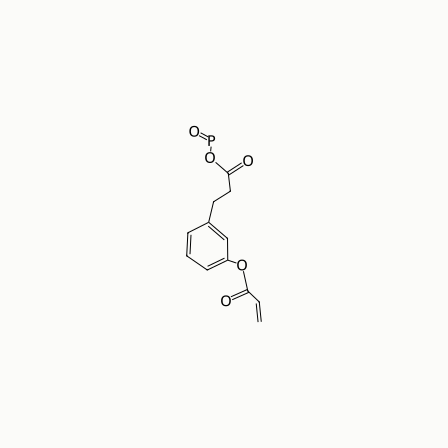 C=CC(=O)Oc1cccc(CCC(=O)OP=O)c1